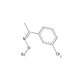 CCO/N=C(/C)c1cccc(C(F)(F)F)c1